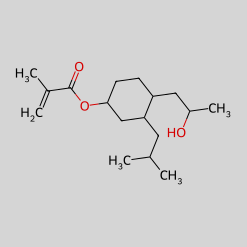 C=C(C)C(=O)OC1CCC(CC(C)O)C(CC(C)C)C1